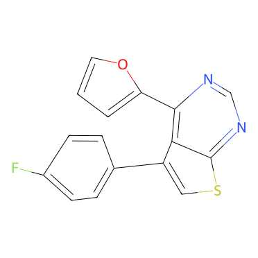 Fc1ccc(-c2csc3ncnc(-c4ccco4)c23)cc1